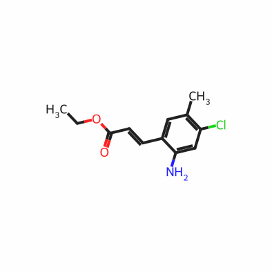 CCOC(=O)/C=C/c1cc(C)c(Cl)cc1N